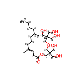 CC(=CCC(=O)OCC(CO)(CO)COCC(CO)(CO)CO)CCCC(C)CCCC(C)C